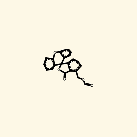 O=[C]OCc1cccc2c1C(=O)OC21c2ccccc2Oc2ccccc21